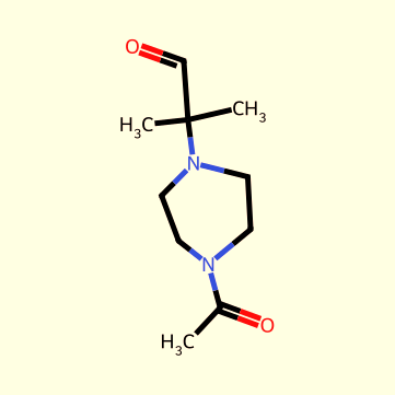 CC(=O)N1CCN(C(C)(C)C=O)CC1